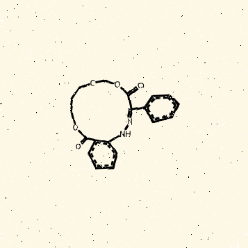 O=C1OCCCCCOC(=O)c2ccccc2N/N=C\1c1ccccc1